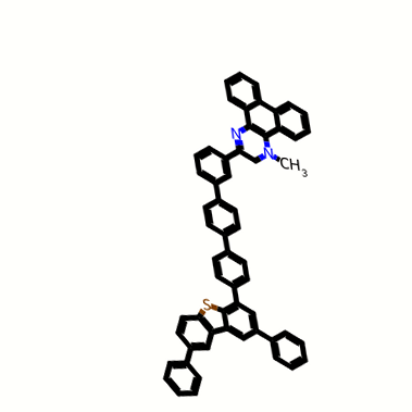 CN1CC(c2cccc(-c3ccc(-c4ccc(-c5cc(-c6ccccc6)cc6c5sc5ccc(-c7ccccc7)cc56)cc4)cc3)c2)=Nc2c1c1ccccc1c1ccccc21